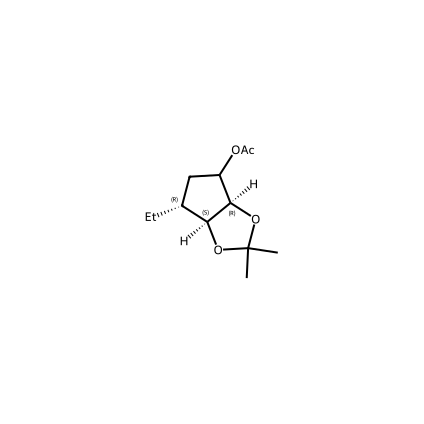 CC[C@@H]1CC(OC(C)=O)[C@H]2OC(C)(C)O[C@@H]12